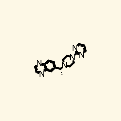 C[C@H](c1ccc2nccnc2c1)N1CCN(c2ncccn2)CC1